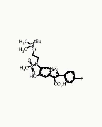 CC(C)(C)[Si](C)(C)OCCN(c1cn2nc(-c3ccc(F)cc3)c(C(=O)O)c2cc1O)S(C)(=O)=O